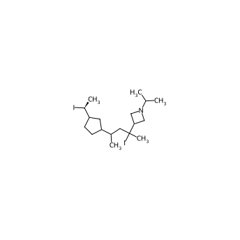 CC(CC(C)(I)C1CN(C(C)C)C1)C1CCC([C@H](C)I)C1